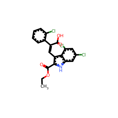 CCOC(=O)c1[nH]c2cc(Cl)cc(Cl)c2c1C=C(C(=O)O)c1ccccc1Cl